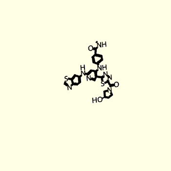 CNC(=O)c1ccc(Nc2cc(Nc3ccc4ncsc4c3)ncc2-c2nnc(C(=O)N3CC[C@@H](O)C3)s2)cc1